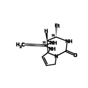 C=C1N[C@H]2[C@H](CC)NC(=O)N3CC=CC23N1